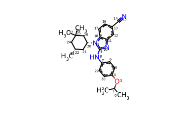 CC(C)Oc1ccc(Nc2nc3cc(C#N)ccc3n2[C@@H]2C[C@H](C)CC(C)(C)C2)cc1